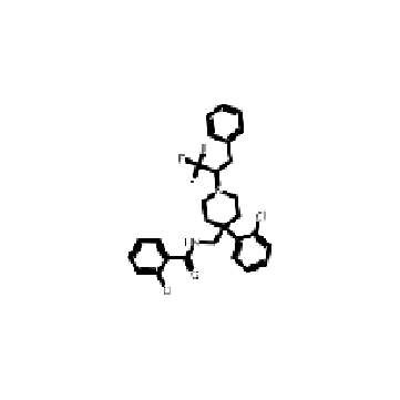 O=C(NCC1(c2ccccc2Cl)CCN(C(Cc2ccccc2)C(F)(F)F)CC1)c1ccccc1Cl